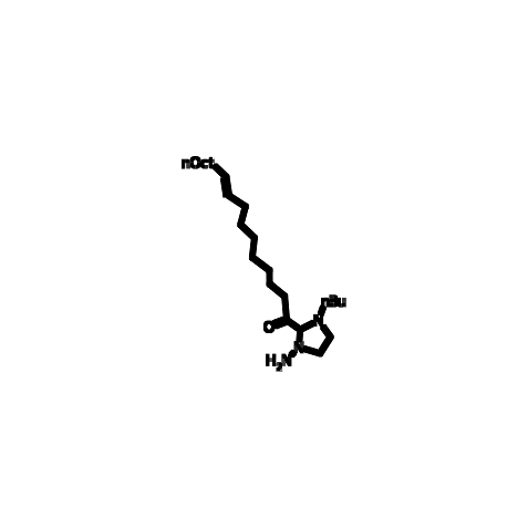 CCCCCCCCC=CCCCCCCCC(=O)C1N(N)CCN1CCCC